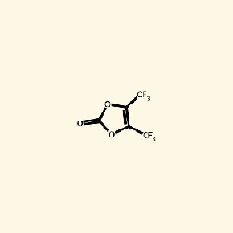 O=c1oc(C(F)(F)F)c(C(F)(F)F)o1